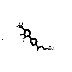 CCC(C)CCC(C)c1ccc(-c2ccc(C3CO3)c(C)c2F)cc1